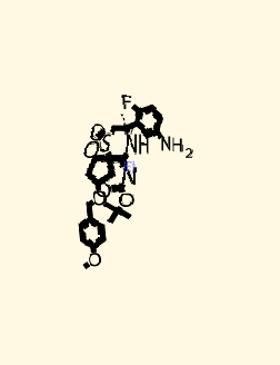 COc1ccc(COC2CCC3(C2)/C(=N\C(=O)OC(C)(C)C)N[C@](C)(c2cc(N)ccc2F)CS3(=O)=O)cc1